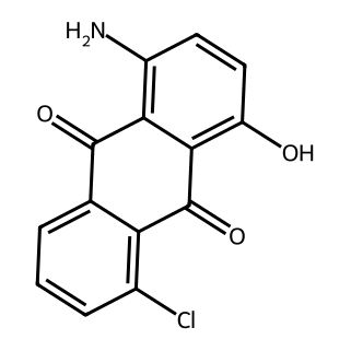 Nc1ccc(O)c2c1C(=O)c1cccc(Cl)c1C2=O